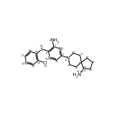 Nc1nc(N2CCC3(CCC[C@H]3N)CC2)cnc1Sc1ccncc1Cl